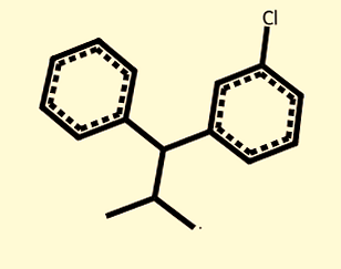 [CH2]C(C)C(c1ccccc1)c1cccc(Cl)c1